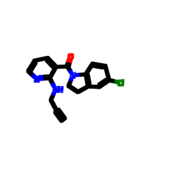 C#CCNc1ncccc1C(=O)N1CCc2cc(Cl)ccc21